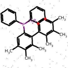 Cc1cc(P)c(-c2c(P(c3ccccc3)c3ccccc3)cc(C)c(C)c2C)c(C)c1C